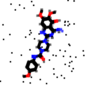 COc1ccc(NC(=O)N2CCN(c3nc(N)c4c(=O)c(OC)c(OC)cc-4[nH]3)CC2)cc1